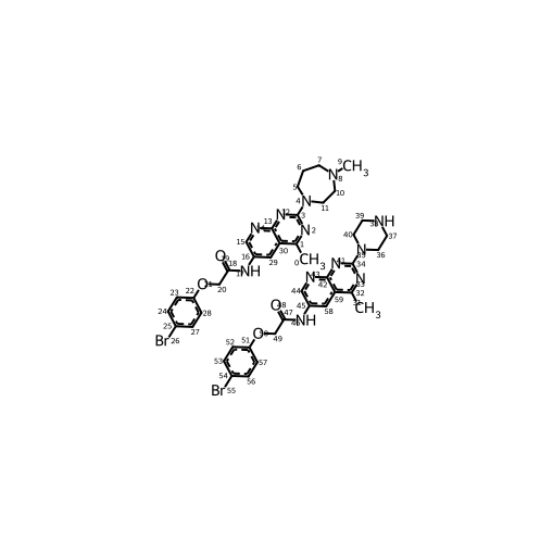 Cc1nc(N2CCCN(C)CC2)nc2ncc(NC(=O)COc3ccc(Br)cc3)cc12.Cc1nc(N2CCNCC2)nc2ncc(NC(=O)COc3ccc(Br)cc3)cc12